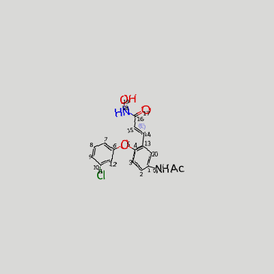 CC(=O)Nc1ccc(Oc2cccc(Cl)c2)c(/C=C/C(=O)NO)c1